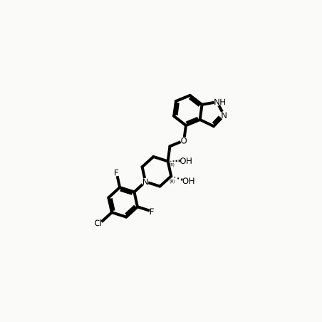 O[C@@H]1CN(c2c(F)cc(Cl)cc2F)CC[C@@]1(O)COc1cccc2[nH]ncc12